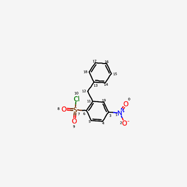 O=[N+]([O-])c1ccc(S(=O)(=O)Cl)c(Cc2ccccc2)c1